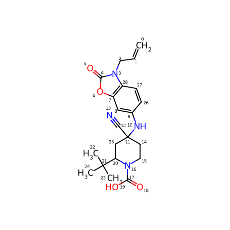 C=CCn1c(=O)oc2cc(NC3(C#N)CCN(C(=O)O)C(C(C)(C)C)C3)ccc21